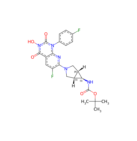 CC(C)(C)OC(=O)N[C@H]1[C@@H]2CN(c3nc4c(cc3F)c(=O)n(O)c(=O)n4-c3ccc(F)cc3)C[C@@H]21